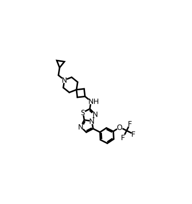 FC(F)(F)Oc1cccc(-c2cnc3sc(NC4CC5(CCN(CC6CC6)CC5)C4)nn23)c1